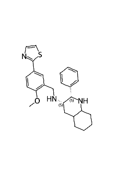 COc1ccc(-c2nccs2)cc1CN[C@H]1CC2CCCCC2N[C@H]1c1ccccc1